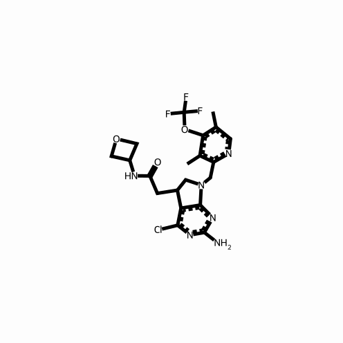 Cc1cnc(CN2CC(CC(=O)NC3COC3)c3c(Cl)nc(N)nc32)c(C)c1OC(F)(F)F